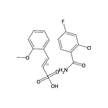 COc1ccccc1/C=C/S(=O)(=O)O.NC(=O)c1ccc(F)cc1Cl